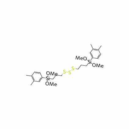 CO[Si](CCCSSSCCC[Si](OC)(OC)c1ccc(C)c(C)c1)(OC)c1ccc(C)c(C)c1